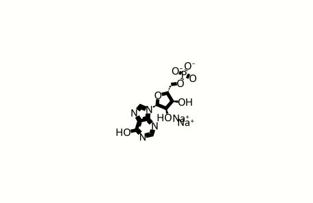 O=P([O-])([O-])OC[C@H]1O[C@@H](n2cnc3c(O)ncnc32)[C@H](O)[C@@H]1O.[Na+].[Na+]